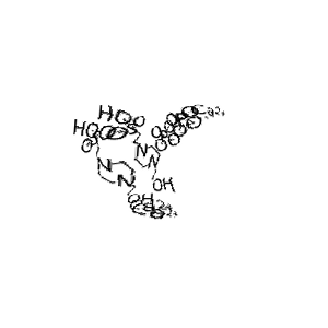 O=P([O-])([O-])[O-].O=P([O-])([O-])[O-].O=S(=O)(O)CCN1CCN(CCO)CC1.O=S(=O)(O)CCN1CCN(CCO)CC1.[Ca+2].[Ca+2].[Ca+2]